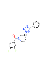 O=C(c1ccc(F)c(F)c1)N1CCC[C@H](n2nnc(-c3ccccc3)n2)C1